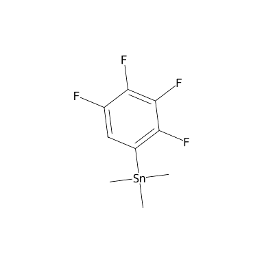 [CH3][Sn]([CH3])([CH3])[c]1cc(F)c(F)c(F)c1F